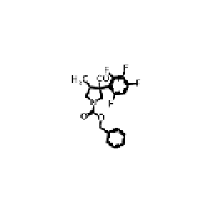 CC1CN(C(=O)OCc2ccccc2)CC1(C(=O)O)c1c(F)cc(F)c(F)c1F